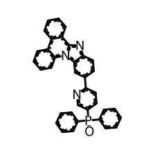 O=P(c1ccccc1)(c1ccccc1)c1ccc(-c2ccc3nc4c5ccccc5c5ccccc5n4c3c2)nc1